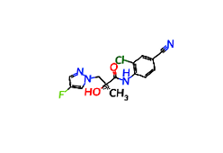 C[C@](O)(Cn1cc(F)cn1)C(=O)Nc1ccc(C#N)cc1Cl